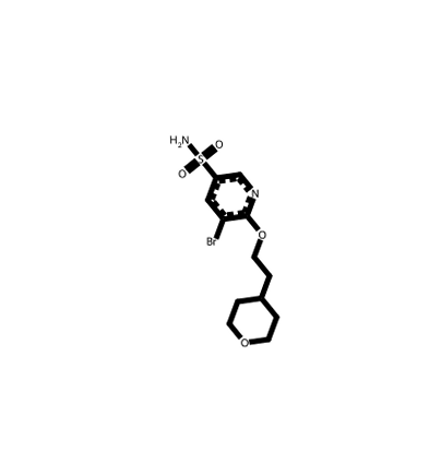 NS(=O)(=O)c1cnc(OCCC2CCOCC2)c(Br)c1